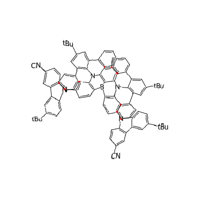 [C-]#[N+]c1ccc2c(c1)c1cc(C(C)(C)C)ccc1n2-c1ccc2c(c1)N(c1c(-c3ccccc3)cc(C(C)(C)C)cc1-c1ccccc1)c1cc(C)cc3c1B2c1ccc(-n2c4ccc(C#N)cc4c4cc(C(C)(C)C)ccc42)cc1N3c1c(-c2ccccc2)cc(C(C)(C)C)cc1-c1ccccc1